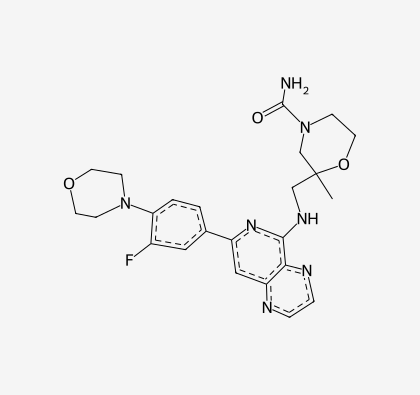 CC1(CNc2nc(-c3ccc(N4CCOCC4)c(F)c3)cc3nccnc23)CN(C(N)=O)CCO1